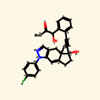 COC(=O)C(O)c1ccccc1C#C[C@]1(O)CCC2=Cc3c(cnn3-c3ccc(F)cc3)CC21C